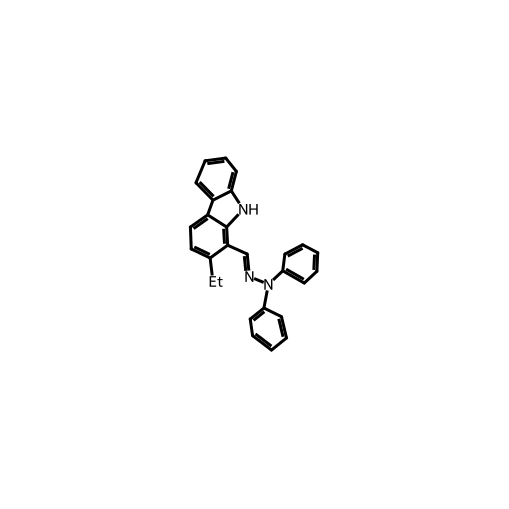 CCc1ccc2c([nH]c3ccccc32)c1C=NN(c1ccccc1)c1ccccc1